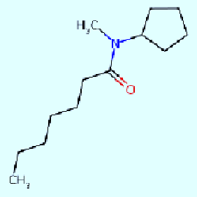 CCCCCCC(=O)N(C)C1CCCC1